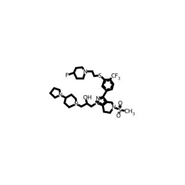 CS(=O)(=O)N1CCc2c(c(-c3ccc(C(F)(F)F)c(SCCN4CCC(F)CC4)c3)nn2CC(O)CN2CCC(N3CCCC3)CC2)C1